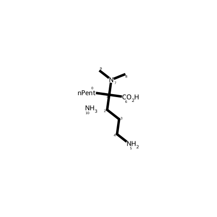 CCCCCC(CCCN)(C(=O)O)N(C)C.N